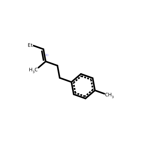 CC/C=C(\C)CCc1ccc(C)cc1